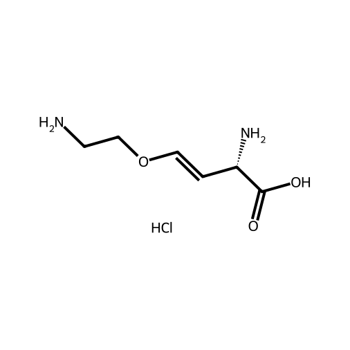 Cl.NCCOC=C[C@H](N)C(=O)O